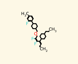 C=C/C=C(\C(F)=C(\F)COCC1CCC(c2ccc(C)cc2F)CC1)C1CCC(CCC)CC1